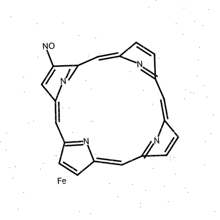 O=NC1=CC2=CC3=NC(=CC4=NC(=CC5=NC(=CC1=N2)C=C5)C=C4)C=C3.[Fe]